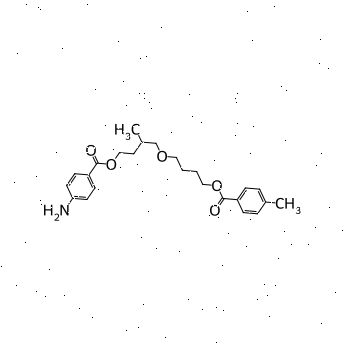 Cc1ccc(C(=O)OCCCCOCC(C)CCOC(=O)c2ccc(N)cc2)cc1